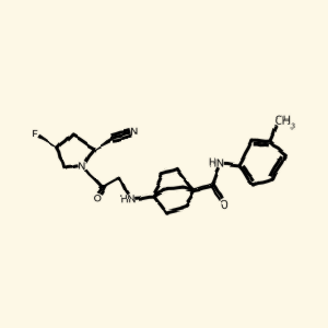 Cc1cccc(NC(=O)C23CCC(NCC(=O)N4C[C@@H](F)C[C@H]4C#N)(CC2)CC3)c1